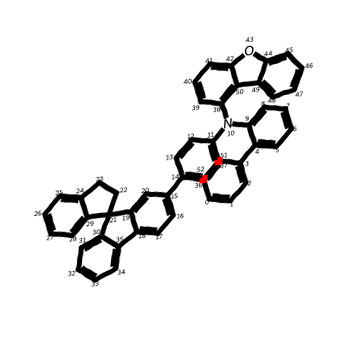 c1ccc(-c2ccccc2N(c2ccc(-c3ccc4c(c3)C3(CCc5ccccc53)c3ccccc3-4)cc2)c2cccc3oc4ccccc4c23)cc1